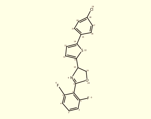 Fc1cccc(F)c1C1=NC(c2ccc(-c3ccc(Cl)cc3)s2)CO1